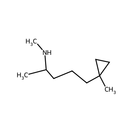 CNC(C)CCCC1(C)CC1